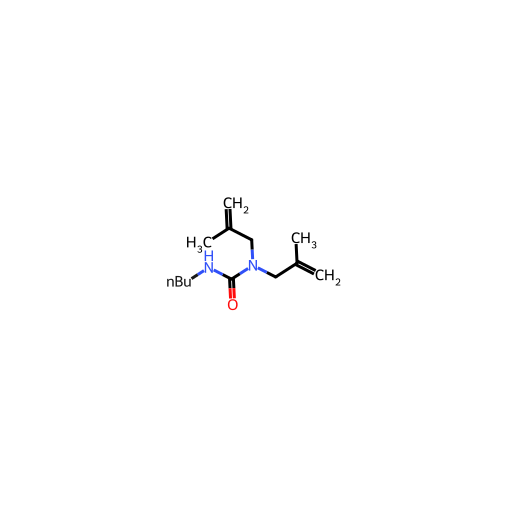 C=C(C)CN(CC(=C)C)C(=O)NCCCC